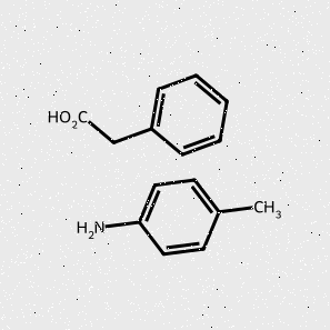 Cc1ccc(N)cc1.O=C(O)Cc1ccccc1